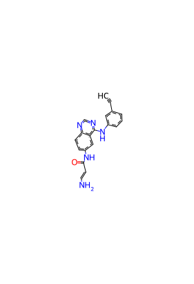 C#Cc1cccc(Nc2ncnc3ccc(NC(=O)C=CN)cc23)c1